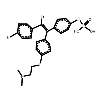 CC/C(=C(/c1ccc(OCCN(C)C)cc1)c1ccc(OP(=O)(O)O)cc1)c1ccc(Br)cc1